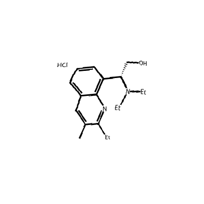 CCc1nc2c([C@H](CO)N(CC)CC)cccc2cc1C.Cl